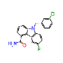 NC(=O)c1cccc2c1c1[c]c(F)ccc1n2Cc1cccc(Cl)c1